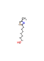 Cc1csc(CCCCCCCO)n1